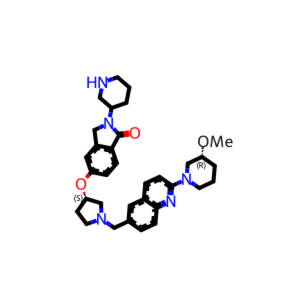 CO[C@@H]1CCCN(c2ccc3cc(CN4CC[C@H](Oc5ccc6c(c5)CN(C5CCCNC5)C6=O)C4)ccc3n2)C1